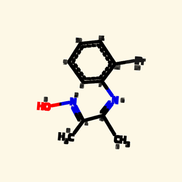 CC(=NO)C(C)=Nc1ccccc1C(C)C